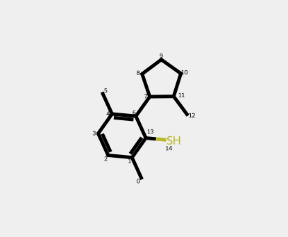 Cc1ccc(C)c(C2CCCC2C)c1S